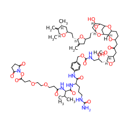 C=C1CC(CC[C@]23C[C@@H](O)C(O2)C2CC(O3)[C@H]3OC(CC(=O)CC4CO[C@H](CC(O)CNC(=O)OCc5ccc(NC(=O)C(CCCNC(N)=O)NC(=O)C(NC(=O)CCOCCOCCC(=O)ON6C(=O)CCC6=O)C(C)C)cc5)[C@@H]4OC)CCC3O2)O[C@H]1CCC1C[C@@H](C)C(=C)[C@@H](C)O1